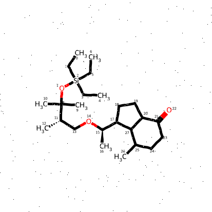 CC[Si](CC)(CC)OC(C)(C)[C@@H](C)CO[C@H](C)C1CCC2C(=O)CCC(C)C21